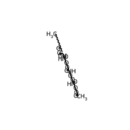 CCCCCCCCCCC(=O)CCC[C@H](CCC(=O)NCCOCCOCC(=O)NCCOCCOCC(=O)NCCOCCOCC(C)=O)C(=O)O